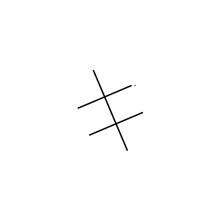 [CH2]C(C)(C)C(C)(C)C